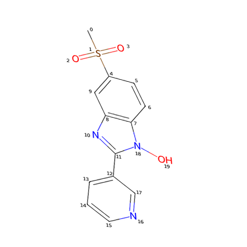 CS(=O)(=O)c1ccc2c(c1)nc(-c1cccnc1)n2O